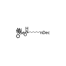 CCCCCCCCCCCCCCCCCCNC(=O)C[Se]c1nnnn1-c1ccccc1